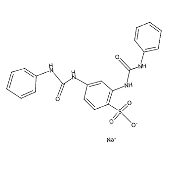 O=C(Nc1ccccc1)Nc1ccc(S(=O)(=O)[O-])c(NC(=O)Nc2ccccc2)c1.[Na+]